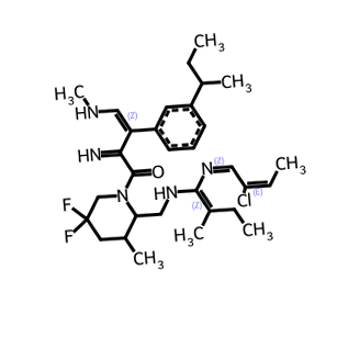 C\C=C(Cl)/C=N\C(NCC1C(C)CC(F)(F)CN1C(=O)C(=N)/C(=C\NC)c1cccc(C(C)CC)c1)=C(\C)CC